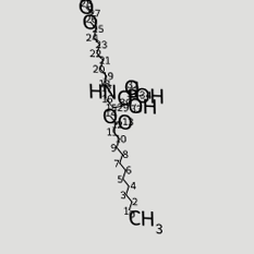 CCCCCCCCCCCCC(=O)O[C@@H](CNCCCCCCCCOC=O)COP(=O)(O)O